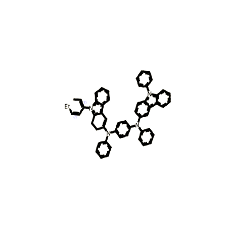 C/C=C(\C=C/CC)n1c2c(c3ccccc31)C=C(N(c1ccccc1)c1ccc(N(c3ccccc3)c3ccc4c(c3)c3ccccc3n4-c3ccccc3)cc1)CC2